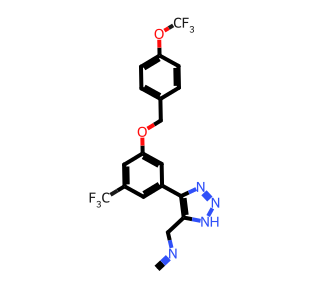 C=NCc1[nH]nnc1-c1cc(OCc2ccc(OC(F)(F)F)cc2)cc(C(F)(F)F)c1